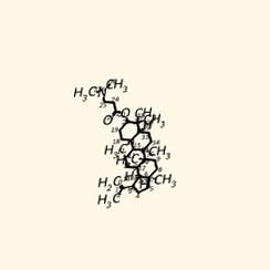 C=C(C)[C@@H]1CC[C@]2(C)CC[C@]3(C)[C@H](CCC4[C@@]5(C)CCC(OC(=O)CCN(C)C)C(C)(C)[C@@H]5CC[C@]43C)[C@@H]12